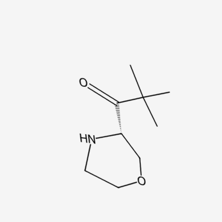 CC(C)(C)C(=O)[C@@H]1COCCN1